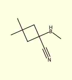 CBC1(C#N)CC(C)(C)C1